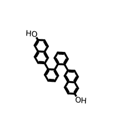 Oc1ccc2cc(-c3ccccc3-c3ccccc3-c3ccc4cc(O)ccc4c3)ccc2c1